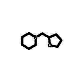 C1CCN(C[C]2CCCO2)CC1